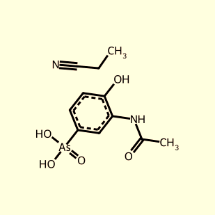 CC(=O)Nc1cc([As](=O)(O)O)ccc1O.CCC#N